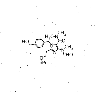 CCCOCCc1nc(N(C)C=O)c(C(=O)N(C)C)n1Cc1ccc(CO)cc1